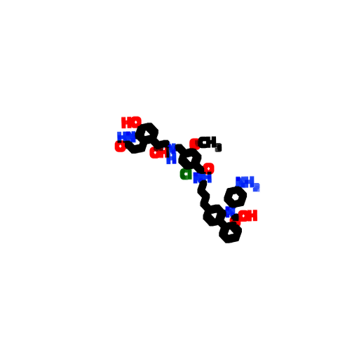 COc1cc(C(=O)NCCCCc2ccc(-c3ccccc3)c(N(C(=O)O)C3CCC(N)CC3)c2)c(Cl)cc1CNC[C@H](O)c1ccc(O)c2[nH]c(=O)ccc12